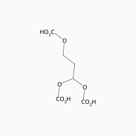 O=C(O)OCCC(OC(=O)O)OC(=O)O